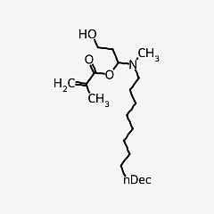 C=C(C)C(=O)OC(CCO)N(C)CCCCCCCCCCCCCCCCCC